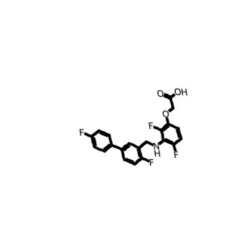 O=C(O)COc1ccc(F)c(NCc2cc(-c3ccc(F)cc3)ccc2F)c1F